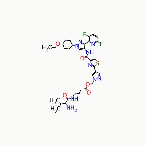 CCO[C@H]1CC[C@H](n2cc(NC(=O)c3csc(-c4cnn(COC(=O)CCCNC(=O)[C@H](N)C(C)C)c4)n3)c(-c3nc(F)ccc3F)n2)CC1